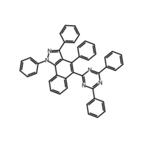 c1ccc(-c2nc(-c3ccccc3)nc(-c3c(-c4ccccc4)c4c(-c5ccccc5)nn(-c5ccccc5)c4c4ccccc34)n2)cc1